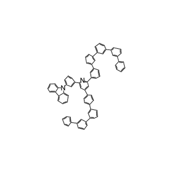 c1ccc(-c2cccc(-c3cccc(-c4ccc(-c5cc(-c6cccc(-c7cccc(-c8cccc(-c9cccc(-c%10ccccc%10)c9)c8)c7)c6)nc(-c6cccc(-n7c8ccccc8c8ccccc87)c6)c5)cc4)c3)c2)cc1